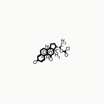 CC(OC(=O)Cl)[C@H]1CC[C@H]2[C@@H]3CCC4=CC(=O)C=C[C@]4(C)[C@H]3C(=O)C[C@]12C